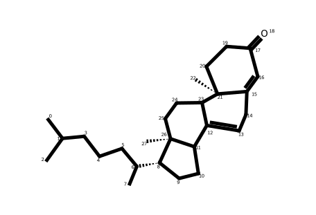 CC(C)CCCC(C)[C@H]1CCC2C3=CCC4=CC(=O)CC[C@]4(C)C3CC[C@@]21C